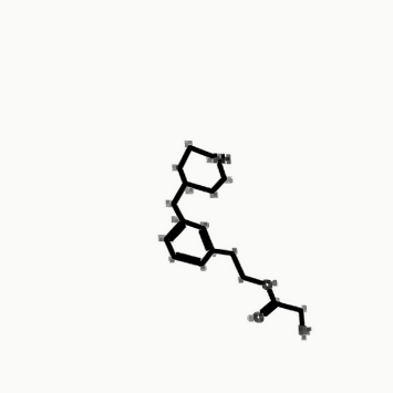 O=C(CBr)OCCc1cccc(CC2CCNCC2)c1